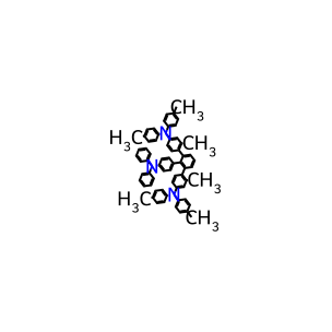 Cc1ccc(N(c2ccc(C)cc2)c2ccc(-c3cccc(-c4ccc(N(c5ccc(C)cc5)c5ccc(C)cc5)cc4C)c3-c3ccc(N(c4ccccc4)c4ccccc4)cc3)c(C)c2)cc1